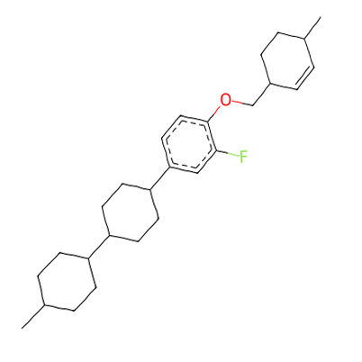 CC1C=CC(COc2ccc(C3CCC(C4CCC(C)CC4)CC3)cc2F)CC1